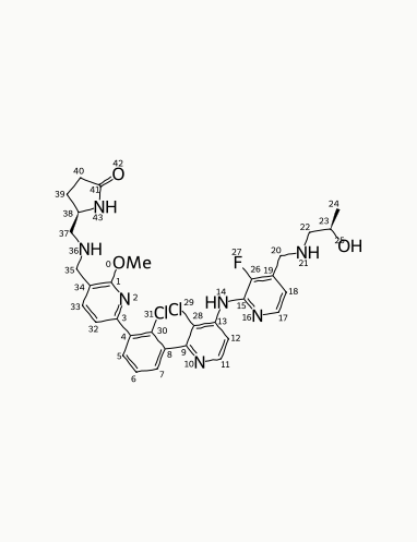 COc1nc(-c2cccc(-c3nccc(Nc4nccc(CNC[C@@H](C)O)c4F)c3Cl)c2Cl)ccc1CNC[C@H]1CCC(=O)N1